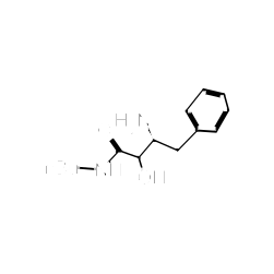 CCCCNC(=O)C(O)[C@@H](N)Cc1ccccc1